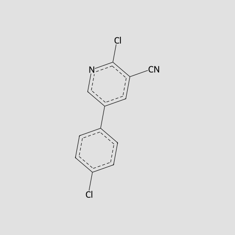 N#Cc1cc(-c2ccc(Cl)cc2)cnc1Cl